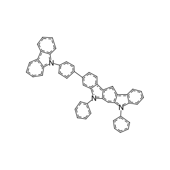 c1ccc(-n2c3ccccc3c3cc4c5ccc(-c6ccc(-n7c8ccccc8c8ccccc87)cc6)cc5n(-c5ccccc5)c4cc32)cc1